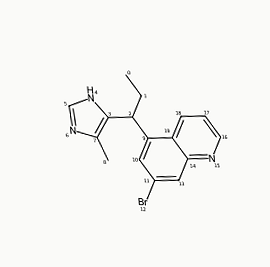 CCC(c1[nH]cnc1C)c1cc(Br)cc2ncccc12